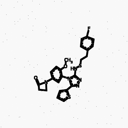 COc1ccc(N2CCC2=O)cc1-n1c(NSCCc2ccc(F)cc2)nnc1-c1cccs1